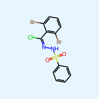 O=S(=O)(N/N=C(/Cl)c1c(Br)cccc1Br)c1ccccc1